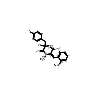 CCC1(Cc2ccc(F)cc2)NC(=O)/C(=C\c2c(C#N)cccc2OC)N(C)C1=O